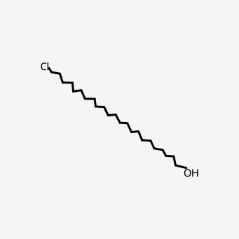 OCCCCCCCCCCCCCCCCCCCCCCCCCl